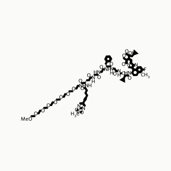 COCCOCCOCCOCCOCCOCCOCCOCCNC(=O)[C@H](CCC(=O)NCC(=O)NCC(=O)N[C@@H](Cc1ccccc1)C(=O)NCC(=O)NCO[C@H](C(=O)N[C@H]1CCc2c(C)c(F)cc3nc4c(c1c23)Cn1c-4cc2c(c1=O)COC(=O)[C@]2(O)CC1CC1)C1CC1)NC(=O)CCCC#Cc1cnc(S(C)(=O)=O)nc1